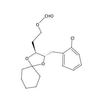 O=COCC[C@@H]1OC2(CCCCC2)O[C@H]1Cc1ccccc1Cl